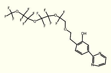 Oc1cc(-c2ncccn2)ccc1CCOCC(F)(F)OC(F)(F)C(F)(F)OC(F)(F)C(F)(F)OC(F)(F)F